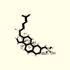 CC(C)=C/C=C/[C@@H](C)[C@H]1CC[C@H]2[C@@H]3CC=C4CCC(C[Si](C)(O)C(C)(C)C)C[C@]4(C)[C@H]3CC[C@]12C